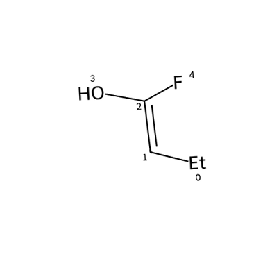 CCC=C(O)F